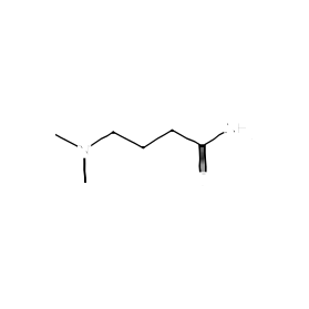 CN(C)CCCC(N)=S